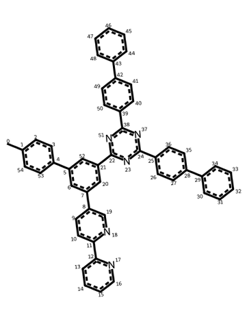 Cc1ccc(-c2cc(-c3ccc(-c4ccccn4)nc3)cc(-c3nc(-c4ccc(-c5ccccc5)cc4)nc(-c4ccc(-c5ccccc5)cc4)n3)c2)cc1